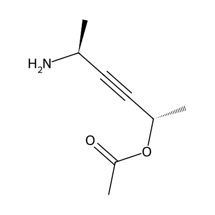 CC(=O)O[C@@H](C)C#C[C@H](C)N